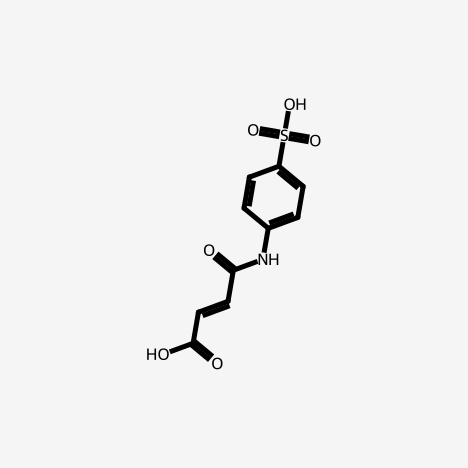 O=C(O)C=CC(=O)Nc1ccc(S(=O)(=O)O)cc1